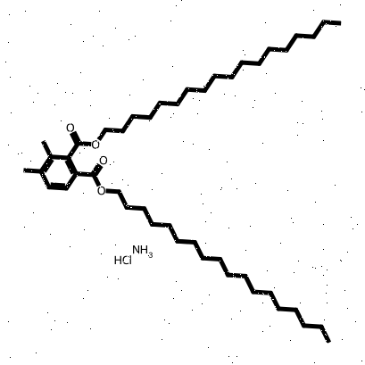 CCCCCCCCCCCCCCCCCCOC(=O)c1ccc(C)c(C)c1C(=O)OCCCCCCCCCCCCCCCCCC.Cl.N